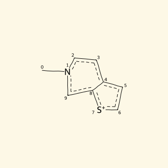 Cn1ccc2cc[s+]c-2c1